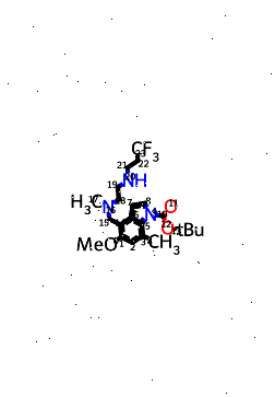 COc1cc(C)c2c(ccn2C(=O)OC(C)(C)C)c1CN(C)CCNCCC(F)(F)F